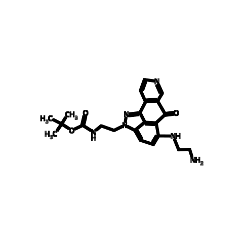 CC(C)(C)OC(=O)NCCn1nc2c3c(c(NCCN)ccc31)C(=O)c1cnccc1-2